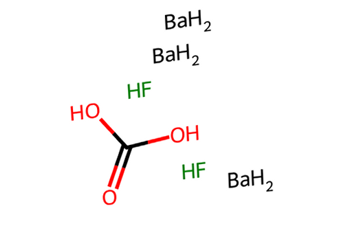 F.F.O=C(O)O.[BaH2].[BaH2].[BaH2]